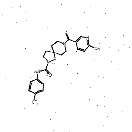 O=C(Nc1ccc(C(F)(F)F)cc1)N1CCC2(CCN(C(=O)c3ccc(O)nc3)CC2)C1